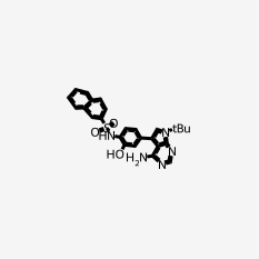 CC(C)(C)n1cc(-c2ccc(NS(=O)(=O)c3ccc4ccccc4c3)c(O)c2)c2c(N)ncnc21